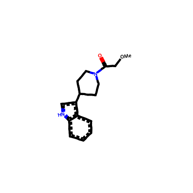 COCC(=O)N1CCC(c2c[nH]c3ccccc23)CC1